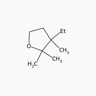 CCC1(C)CCOC1(C)C